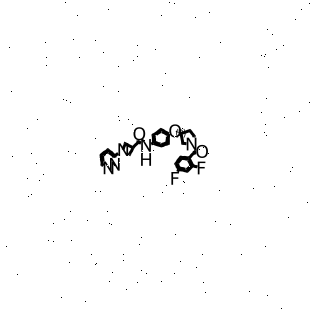 O=C(Nc1ccc(O[C@@H]2CCN(C(=O)c3ccc(F)cc3F)C2)cc1)C1CN(c2cccnn2)C1